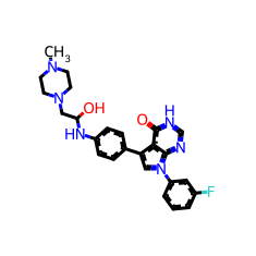 CN1CCN(CC(O)Nc2ccc(-c3cn(-c4cccc(F)c4)c4nc[nH]c(=O)c34)cc2)CC1